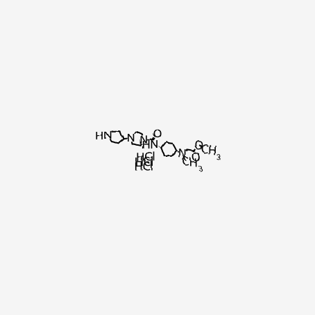 COC(=O)CN(C)[C@H]1CC[C@H](NC(=O)N2CCN(C3CCNCC3)CC2)CC1.Cl.Cl.Cl